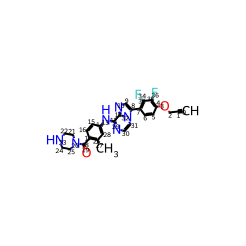 C#CCOc1ccc(-c2cnc3c(Nc4ccc(C(=O)N5CCNCC5)c(C)c4)nccn23)c(F)c1F